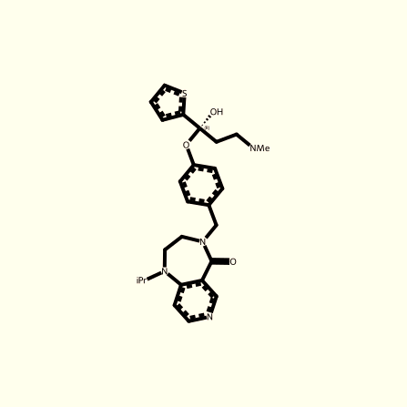 CNCC[C@@](O)(Oc1ccc(CN2CCN(C(C)C)c3ccncc3C2=O)cc1)c1cccs1